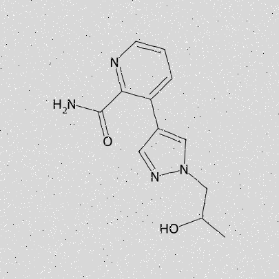 CC(O)Cn1cc(-c2cccnc2C(N)=O)cn1